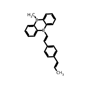 C/C=C/c1ccc(/C=C/B2c3ccccc3B(C)c3ccccc32)cc1